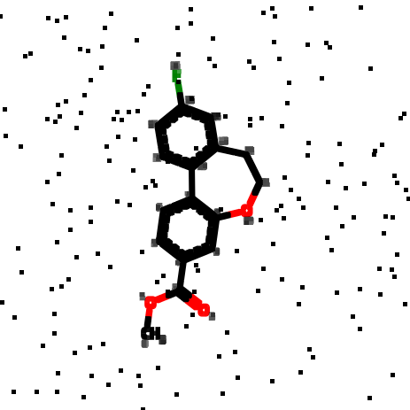 COC(=O)c1ccc2c(c1)OCCc1cc(F)ccc1-2